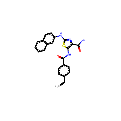 C=Cc1ccc(C(=O)Nc2sc(Nc3ccc4ccccc4c3)nc2C(N)=O)cc1